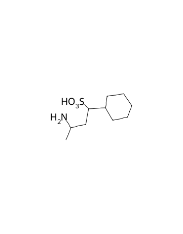 CC(N)CC(C1CCCCC1)S(=O)(=O)O